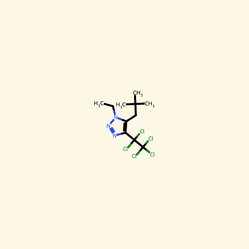 CCn1nnc(C(Cl)(Cl)C(Cl)(Cl)Cl)c1CC(C)(C)C